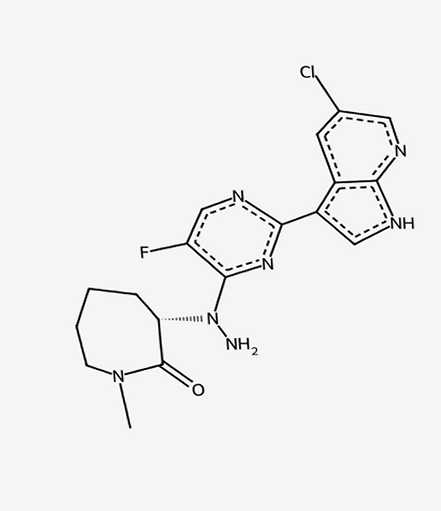 CN1CCCC[C@H](N(N)c2nc(-c3c[nH]c4ncc(Cl)cc34)ncc2F)C1=O